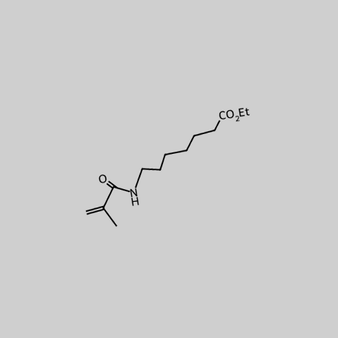 C=C(C)C(=O)NCCCCCCC(=O)OCC